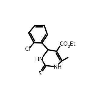 CCOC(=O)C1=C(C)NC(=S)NC1c1ccccc1Cl